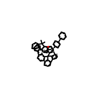 CC1(C)c2ccccc2-c2ccc(N(c3ccc(-c4ccccc4)cc3)c3cccc4c3C3(c5ccccc5-4)c4ccccc4-n4c5ccccc5c5cccc3c54)cc21